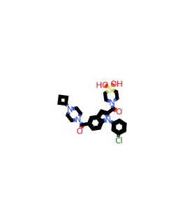 O=C(c1ccc2c(c1)cc(C(=O)N1CCS(O)(O)CC1)n2-c1cccc(Cl)c1)N1CCN(C2CCC2)CC1